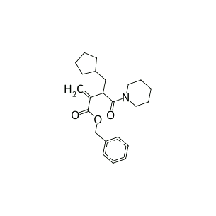 C=C(C(=O)OCc1ccccc1)C(CC1CCCC1)C(=O)N1CCCCC1